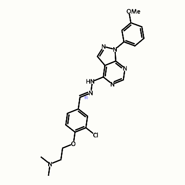 COc1cccc(-n2ncc3c(N/N=C/c4ccc(OCCN(C)C)c(Cl)c4)ncnc32)c1